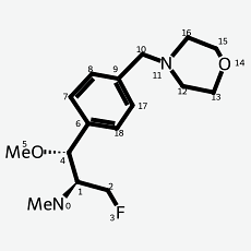 CN[C@H](CF)[C@H](OC)c1ccc(CN2CCOCC2)cc1